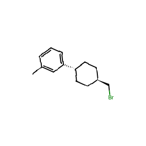 Cc1cccc([C@H]2CC[C@H](CBr)CC2)c1